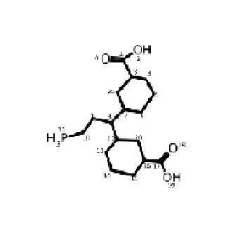 O=C(O)C1CCCC(C(CCP)C2CCCC(C(=O)O)C2)C1